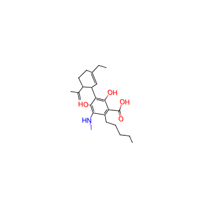 C=C(C)C1CCC(CC)=CC1c1c(O)c(NI)c(CCCCC)c(C(=O)O)c1O